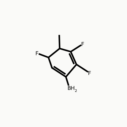 BC1=CC(F)C(C)C(F)=C1F